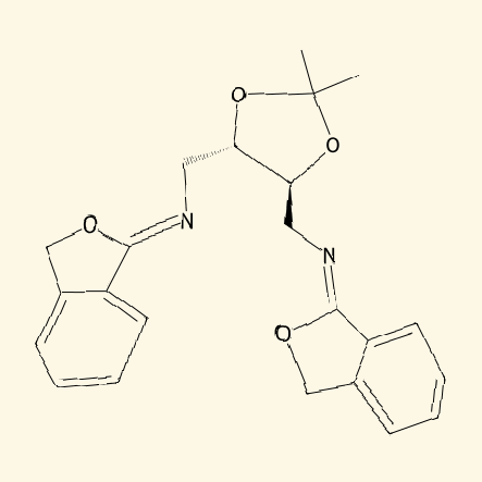 CC1(C)O[C@@H](CN=C2OCc3ccccc32)[C@H](CN=C2OCc3ccccc32)O1